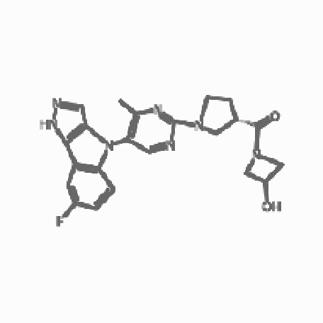 Cc1nc(N2CC[C@H](C(=O)N3CC(O)C3)C2)ncc1-n1c2ccc(F)cc2c2[nH]ncc21